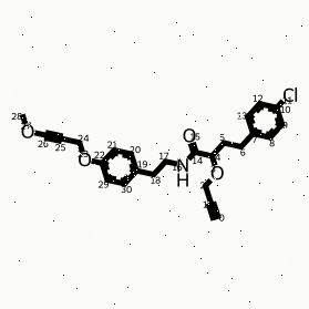 C#CCOC(CCc1ccc(Cl)cc1)C(=O)NCCc1ccc(OCC#COC)cc1